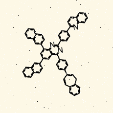 C1=Cc2ccccc2CC=C1c1ccc(-c2nc(-c3ccc(-c4ccc5ccccc5n4)cc3)nc3c(-c4ccc5ccccc5c4)cc(-c4ccc5ccccc5c4)cc23)cc1